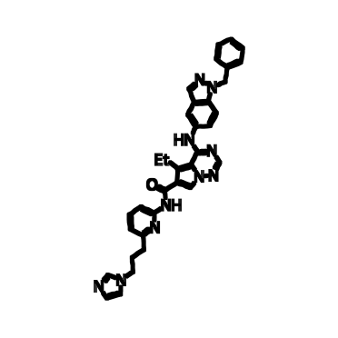 CCc1c(C(=O)Nc2cccc(CCCn3ccnc3)n2)cn2ncnc(Nc3ccc4c(cnn4Cc4ccccc4)c3)c12